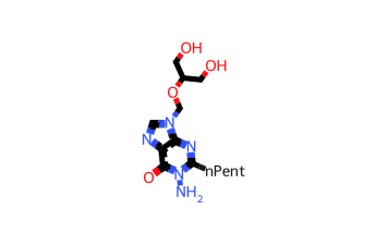 CCCCCc1nc2c(ncn2COC(CO)CO)c(=O)n1N